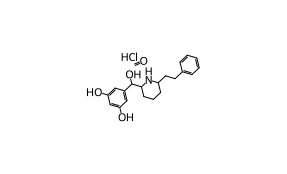 C=O.Cl.Oc1cc(O)cc(C(O)C2CCCC(CCc3ccccc3)N2)c1